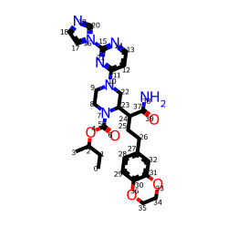 CCC(C)OC(=O)N1CCN(c2ccnc(-n3ccnc3)n2)CC1C(CCc1ccc2c(c1)OCCO2)C(N)=O